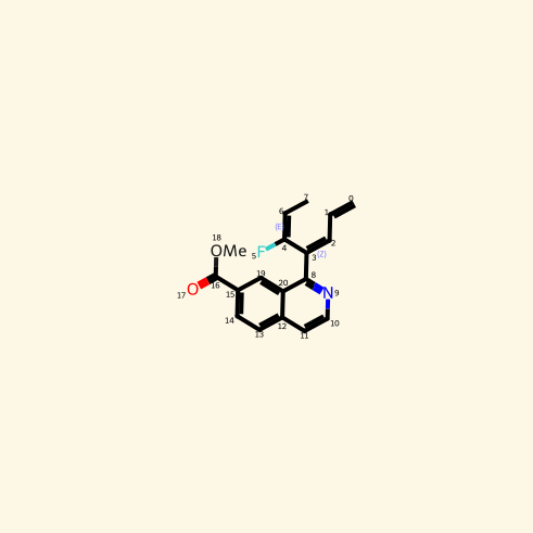 C=C/C=C(\C(F)=C/C)c1nccc2ccc(C(=O)OC)cc12